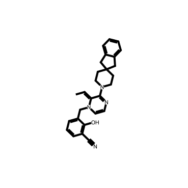 C/C=C1/C(N2CCC3(CC2)Cc2ccccc2C3)=NC=CN1Cc1cccc(C#N)c1O